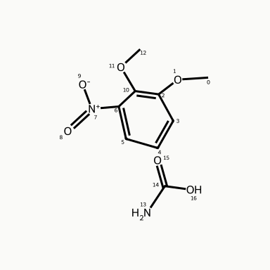 COc1cccc([N+](=O)[O-])c1OC.NC(=O)O